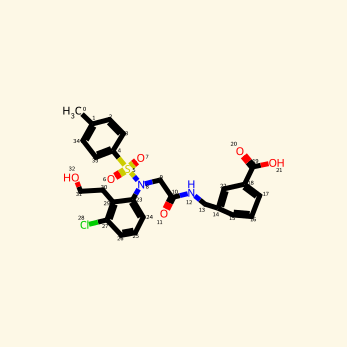 Cc1ccc(S(=O)(=O)N(CC(=O)NCc2cccc(C(=O)O)c2)c2cccc(Cl)c2CCO)cc1